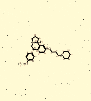 FC(F)(F)Oc1ccc([C@@H]2CN3CCC[C@@H]3c3cc(OCCCN4CCCCC4)ccc32)cc1